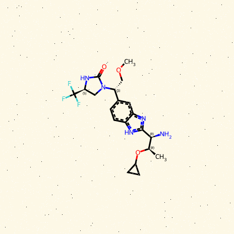 COC[C@H](c1ccc2[nH]c([C@@H](N)[C@@H](C)OC3CC3)nc2c1)N1C[C@@H](C(F)(F)F)NC1=O